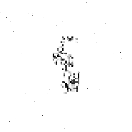 CSCCOc1cc2ncnc(Oc3ccc(NC(=O)NC4CC4)c(Cl)c3)c2c2c1OCCO2